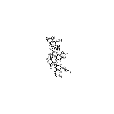 COc1cc([C@@H]2c3cc4c(cc3[C@@H](NC(=O)C[C@]3(O)O[C@H](CO)[C@@H](O)[C@H](O)[C@H]3O)[C@H]3COC(=O)[C@H]23)OCO4)cc(OC)c1O